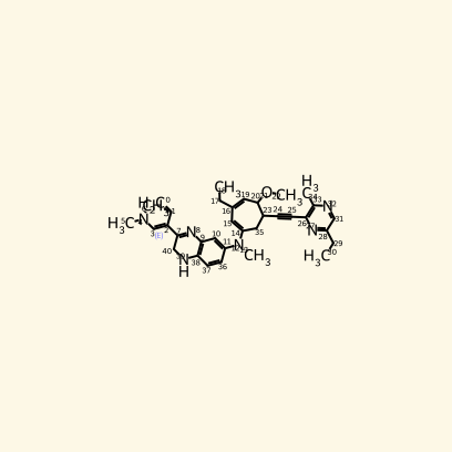 C=C/C(=C\N(C)C)C1=Nc2cc(N(C)C3=CC(CC)=CC(OC)C(C#Cc4nc(CC)cnc4C)C3)ccc2NC1